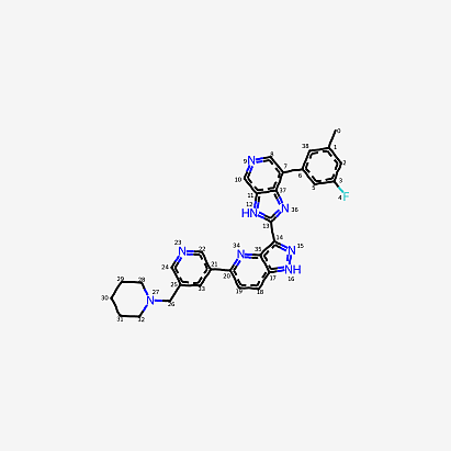 Cc1cc(F)cc(-c2cncc3[nH]c(-c4n[nH]c5ccc(-c6cncc(CN7CCCCC7)c6)nc45)nc23)c1